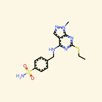 CCSc1nc(NCc2ccc(S(N)(=O)=O)cc2)c2cnn(C)c2n1